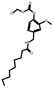 CCCCCCCCC(=O)NCc1ccc(OC(=O)OCCl)c(OC)c1